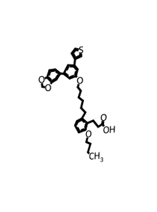 CCCCOc1cccc(CCCCCCOc2cc(-c3ccsc3)cc(-c3ccc4c(c3)OCO4)c2)c1CCC(=O)O